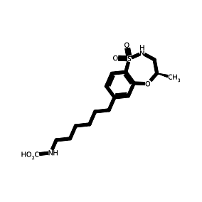 C[C@@H]1CNS(=O)(=O)c2ccc(CCCCCCNC(=O)O)cc2O1